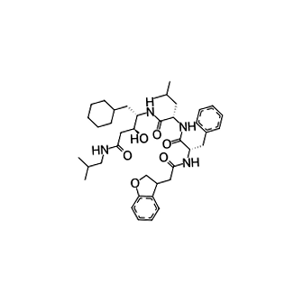 CC(C)CNC(=O)C[C@H](O)[C@H](CC1CCCCC1)NC(=O)[C@H](CC(C)C)NC(=O)[C@H](Cc1ccccc1)NC(=O)CC1COc2ccccc21